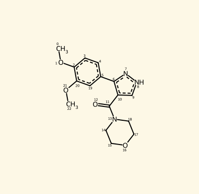 COc1ccc(-c2n[nH]cc2C(=O)N2CCOCC2)cc1OC